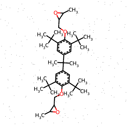 CC1OC1COc1c(C(C)(C)C)cc(C(C)(C)c2cc(C(C)(C)C)c(OCC3OC3C)c(C(C)(C)C)c2)cc1C(C)(C)C